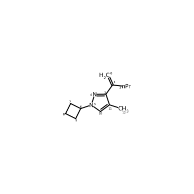 C=C(CCC)c1nn(C2CCC2)cc1C